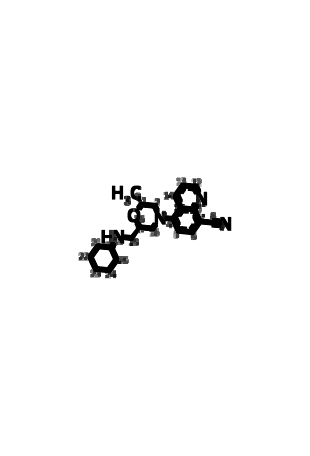 C[C@@H]1CN(c2ccc(C#N)c3ncccc23)C[C@@H](CNC2CCCCC2)O1